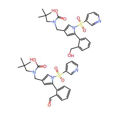 CC(C)(C)CN(Cc1cc(-c2ccccc2C=O)n(S(=O)(=O)c2cccnc2)c1)C(=O)O.CC(C)(C)CN(Cc1cc(-c2ccccc2CO)n(S(=O)(=O)c2cccnc2)c1)C(=O)O